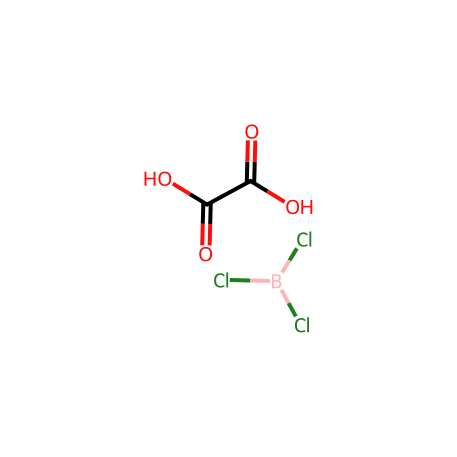 ClB(Cl)Cl.O=C(O)C(=O)O